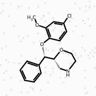 COc1cc(Cl)ccc1O[C@@H](c1ccccc1)[C@H]1CNCCO1